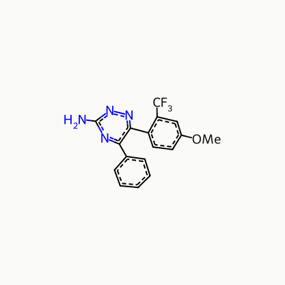 COc1ccc(-c2nnc(N)nc2-c2ccccc2)c(C(F)(F)F)c1